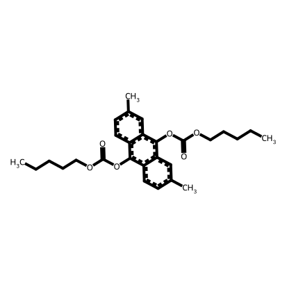 CCCCCOC(=O)Oc1c2ccc(C)cc2c(OC(=O)OCCCCC)c2cc(C)ccc12